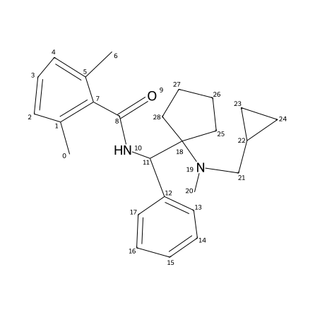 Cc1cccc(C)c1C(=O)NC(c1ccccc1)C1(N(C)CC2CC2)CCCC1